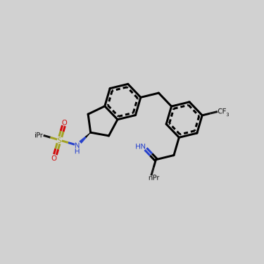 CCCC(=N)Cc1cc(Cc2ccc3c(c2)C[C@@H](NS(=O)(=O)C(C)C)C3)cc(C(F)(F)F)c1